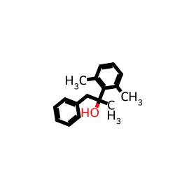 Cc1cccc(C)c1C(C)(O)Cc1ccccc1